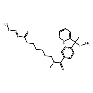 CN(CCCCCCC(=O)N=NON)C(=O)c1ccc(C(C)(ON)C2=CC=CCN2)cc1